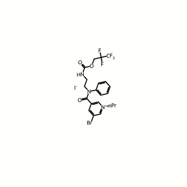 CCC[n+]1cc(Br)cc(C(=O)N(CCNC(=O)OCC(F)(F)C(F)(F)F)c2ccccc2)c1.[I-]